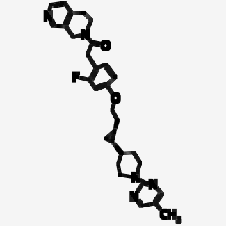 Cc1cnc(N2CCC([C@H]3C[C@H]3CCOc3ccc(CC(=O)N4CCc5ccncc5C4)c(F)c3)CC2)nc1